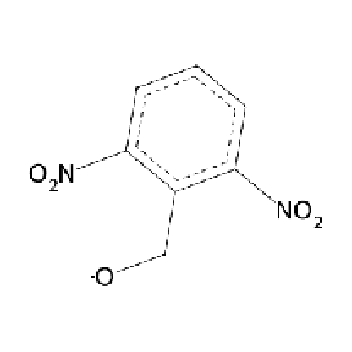 [O]Cc1c([N+](=O)[O-])cccc1[N+](=O)[O-]